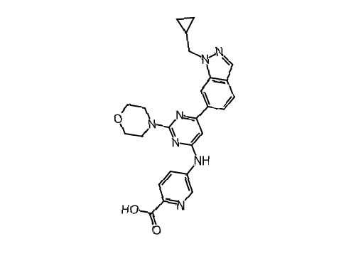 O=C(O)c1ccc(Nc2cc(-c3ccc4cnn(CC5CC5)c4c3)nc(N3CCOCC3)n2)cn1